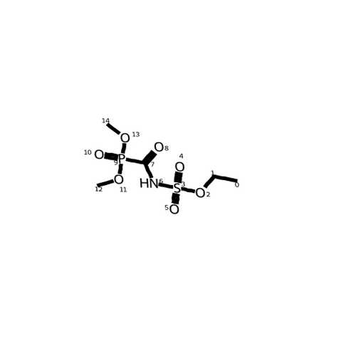 CCOS(=O)(=O)NC(=O)P(=O)(OC)OC